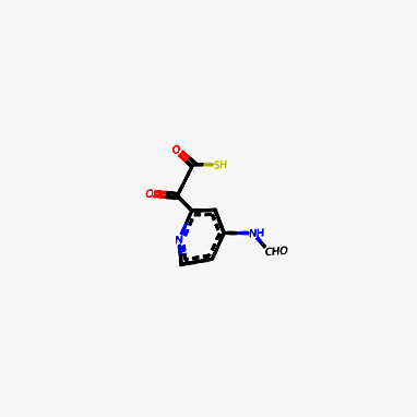 O=CNc1ccnc(C(=O)C(=O)S)c1